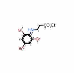 CCOC(=O)CCNc1c(Br)cc(Br)cc1Br